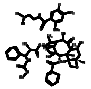 CC(=O)O[C@@]12CO[C@@H]1C[C@H](O)[C@@]1(C)C(=O)[C@H](O)C3=C(C)[C@@H](OC(=O)[C@H](O)[C@@H](NC(=O)OC(C)(C)C)c4ccccc4)C[C@@](O)([C@@H](OC(=O)c4ccccc4)[C@H]21)C3(C)C.CCN(CC)CCNC(=O)c1cc(Cl)c(N)cc1OC